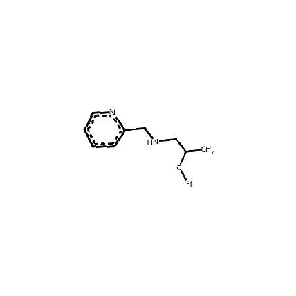 CCOC(C)CNCc1ccccn1